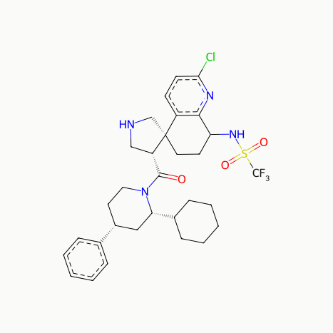 O=C([C@@H]1CNC[C@]12CCC(NS(=O)(=O)C(F)(F)F)c1nc(Cl)ccc12)N1CC[C@@H](c2ccccc2)C[C@H]1C1CCCCC1